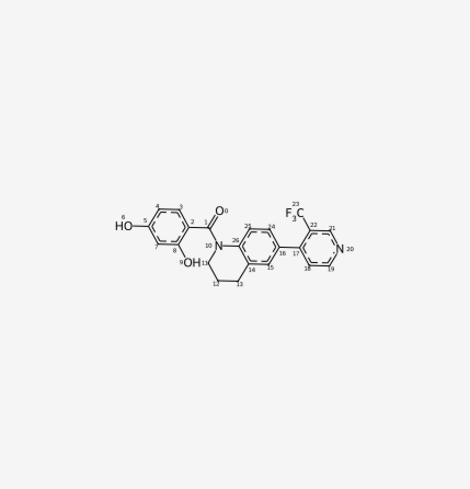 O=C(c1ccc(O)cc1O)N1CCCc2cc(-c3ccncc3C(F)(F)F)ccc21